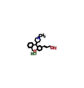 CN1CCC(=C2c3ccccc3COc3ccc(C=CCO)cc32)CC1.Cl